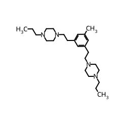 CCCN1CCN(CCc2cc(C)cc(CCN3CCN(CCC)CC3)c2)CC1